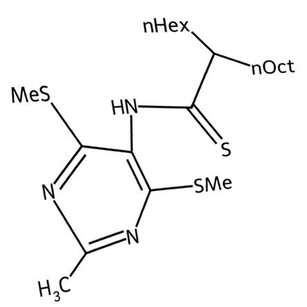 CCCCCCCCC(CCCCCC)C(=S)Nc1c(SC)nc(C)nc1SC